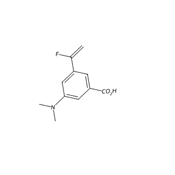 C=C(F)c1cc(C(=O)O)cc(N(C)C)c1